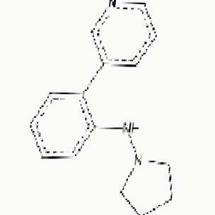 [c]1ncccc1-c1ccccc1NN1CCCC1